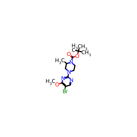 COc1nc(N2CCN(C(=O)OC(C)(C)C)C(C)C2)ncc1Br